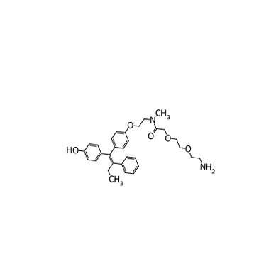 CC/C(=C(\c1ccc(O)cc1)c1ccc(OCCN(C)C(=O)COCCOCCN)cc1)c1ccccc1